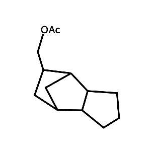 CC(=O)OCC1CC2CC1C1CCCC21